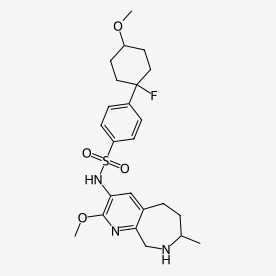 COc1nc2c(cc1NS(=O)(=O)c1ccc(C3(F)CCC(OC)CC3)cc1)CCC(C)NC2